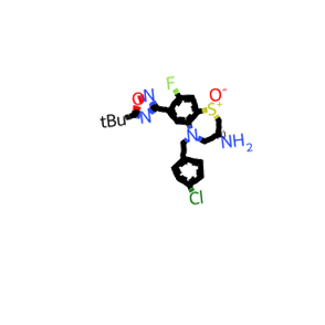 CC(C)(C)c1nc(-c2cc3c(cc2F)[S+]([O-])C[C@H](N)CN3Cc2ccc(Cl)cc2)no1